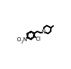 CC1CCN(CCc2ccc([N+](=O)[O-])cc2Cl)CC1